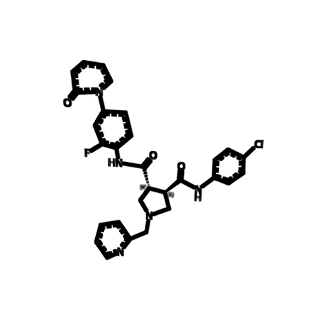 O=C(Nc1ccc(Cl)cc1)[C@H]1CN(Cc2ccccn2)C[C@@H]1C(=O)Nc1ccc(-n2ccccc2=O)cc1F